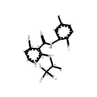 Cc1ccc(F)c(NC(=O)c2c(F)ccnc2OC(C)C(F)(F)F)c1